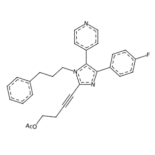 CC(=O)OCCC#Cc1nc(-c2ccc(F)cc2)c(-c2ccncc2)n1CCCc1ccccc1